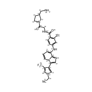 CCc1cc(Nc2nccn3c(-c4cn(CC#N)nc4C(F)(F)F)cnc23)ccc1C(=O)NCC(=O)N1CCC(CN)C1